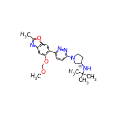 COCOc1cc2nc(C)oc2cc1-c1ccc(N2CC[C@@H](NC(C)(C)C)C2)nn1